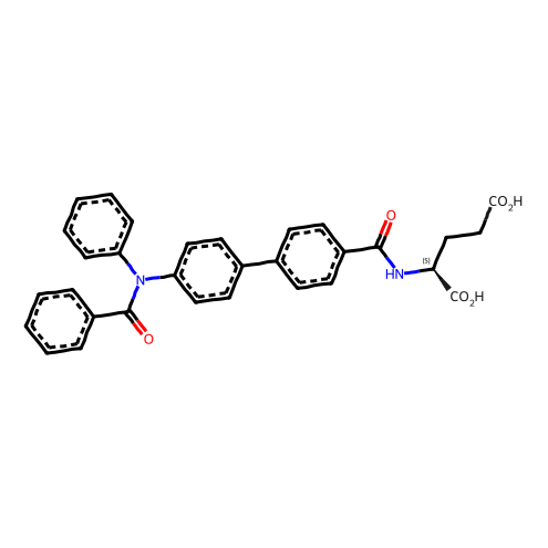 O=C(O)CC[C@H](NC(=O)c1ccc(-c2ccc(N(C(=O)c3ccccc3)c3ccccc3)cc2)cc1)C(=O)O